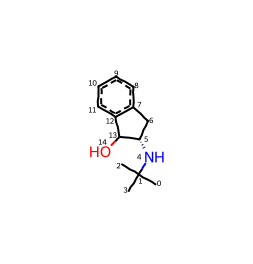 CC(C)(C)N[C@H]1Cc2ccccc2C1O